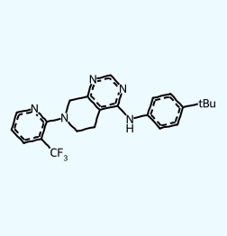 CC(C)(C)c1ccc(Nc2ncnc3c2CCN(c2ncccc2C(F)(F)F)C3)cc1